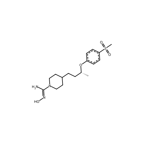 C[C@H](CCC1CCN(C(N)=NO)CC1)Oc1ccc(S(C)(=O)=O)cc1